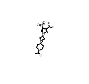 CC(=O)N1CCC(N2CC(n3cc([N+](=O)[O-])c(C(F)F)n3)C2)CC1